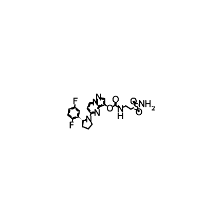 NS(=O)(=O)CCNC(=O)Oc1cnn2ccc(N3CCC[C@@H]3c3cc(F)ccc3F)nc12